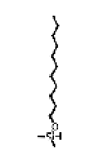 CCCCCCCCCCCO[SiH](C)C